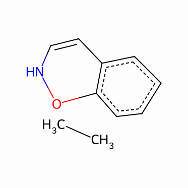 C1=Cc2ccccc2ON1.CC